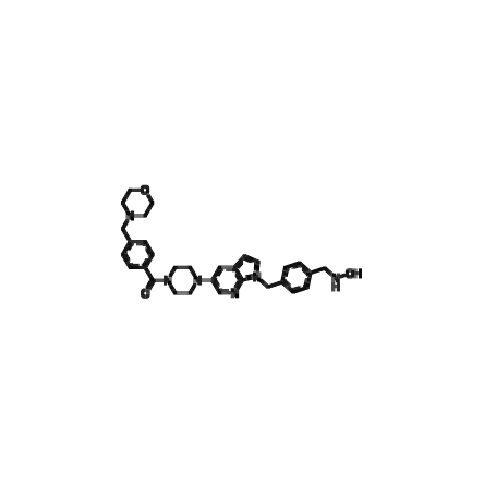 O=C(c1ccc(CN2CCOCC2)cc1)N1CCN(c2cnc3c(ccn3Cc3ccc(CNO)cc3)c2)CC1